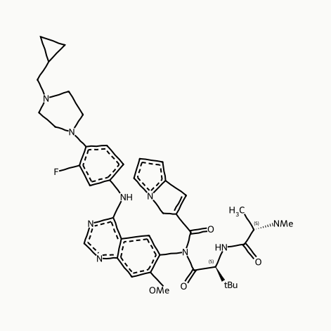 CN[C@@H](C)C(=O)N[C@H](C(=O)N(C(=O)C1=Cc2cccn2C1)c1cc2c(Nc3ccc(N4CCN(CC5CC5)CC4)c(F)c3)ncnc2cc1OC)C(C)(C)C